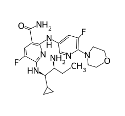 CC[C@H](N)[C@H](Nc1nc(Nc2cnc(N3CCOCC3)c(F)c2)c(C(N)=O)cc1F)C1CC1